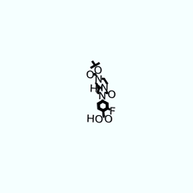 CC(C)(C)OC(=O)N1CCN2C(=O)N(c3ccc(C(=O)O)c(F)c3)C[C@@H]2C1